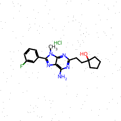 Cl.Cn1c(-c2cccc(F)c2)nc2c(N)nc(CCC3(O)CCCC3)nc21